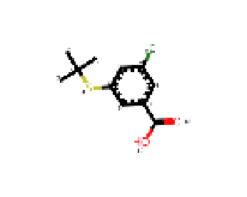 CC(C)(C)Sc1cc(Cl)cc(C(=O)O)c1